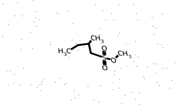 CCC(C)CS(=O)(=O)OC